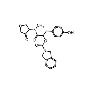 CN(C(=O)C(Cc1ccc(O)cc1)OC(=O)N1Cc2ccccc2C1)C1COCC1=O